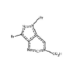 CC(C)n1nc(Br)c2ncc(C(=O)O)cc21